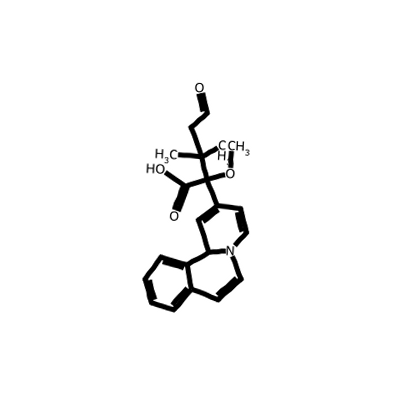 COC(C(=O)O)(C1=CC2c3ccccc3C=CN2C=C1)C(C)(C)CC=O